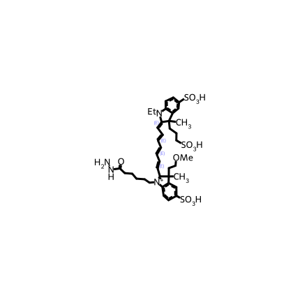 CCN1/C(=C/C=C/C=C/C=C/C2=[N+](CCCCCC(=O)NN)c3ccc(S(=O)(=O)O)cc3C2(C)CCOC)C(C)(CCCS(=O)(=O)O)c2cc(S(=O)(=O)O)ccc21